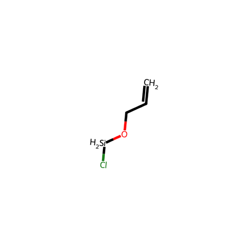 C=CCO[SiH2]Cl